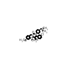 COc1ccc(CN2Cc3cnc4ccc(Cl)cc4c3N([C@H]3CC[C@H](CN(C)C)CC3)C2=O)c(OC)c1